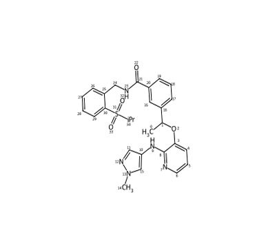 CC(Oc1cccnc1Nc1cnn(C)c1)c1cccc(C(=O)NCc2ccccc2S(=O)(=O)C(C)C)c1